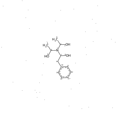 CC(O)N(C(C)O)C(O)Cc1ccccc1